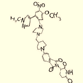 COc1cc(N2CCN(CC3CCN(c4ccc5c(c4)C(=O)N(C4CCC(=O)NC4=O)C5=O)C3)CC2)c(-c2cnn(C)c2)cc1[N+](=O)[O-]